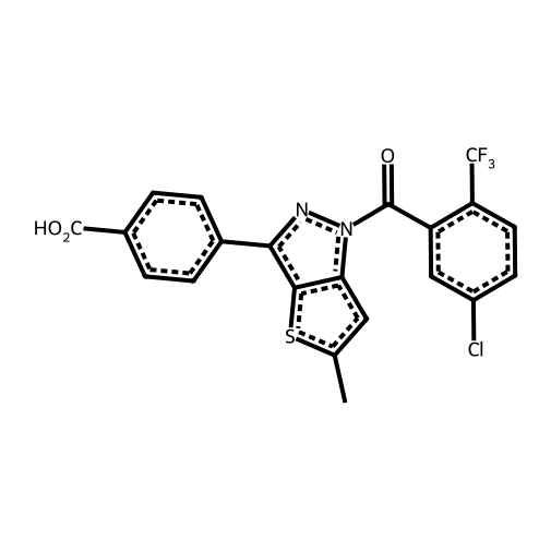 Cc1cc2c(s1)c(-c1ccc(C(=O)O)cc1)nn2C(=O)c1cc(Cl)ccc1C(F)(F)F